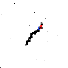 [CH2]CCCCCC#CC=NOC